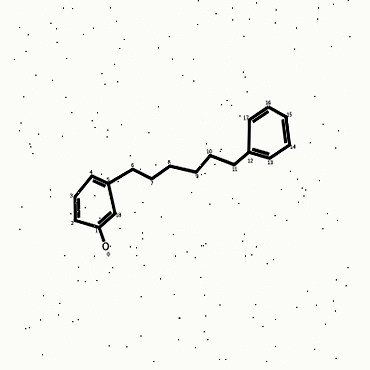 [O]c1cccc(CCCCCCc2ccccc2)c1